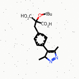 CC1=C(c2ccc(CC(OC(C)(C)C)(C(=O)O)C(=O)O)cc2)C(C)N=N1